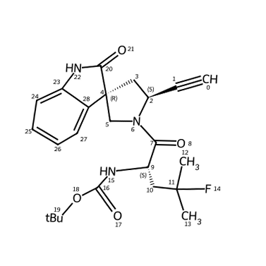 C#C[C@@H]1C[C@@]2(CN1C(=O)[C@H](CC(C)(C)F)NC(=O)OC(C)(C)C)C(=O)Nc1ccccc12